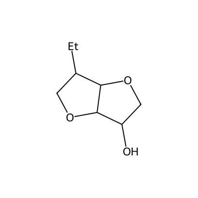 CCC1COC2C(O)COC12